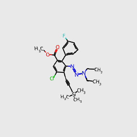 CCN(CC)N=Nc1c(C#C[Si](C)(C)C)c(Cl)cc(C(=O)OC)c1-c1cccc(F)c1